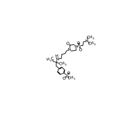 CCC(C)(Cc1ccc(S(C)(=O)=O)cc1)NCCCCN1CCN(S(=O)(=O)CCN(C)C)CC1=O